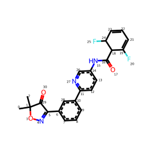 CC1(C)ON=C(c2cccc(-c3ccc(NC(=O)C4C(F)=CC=CC4F)cn3)c2)C1=O